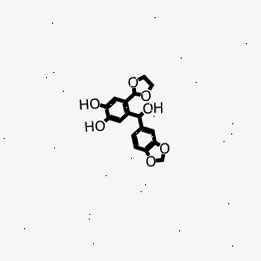 Oc1cc(C2OCCO2)c(C(O)c2ccc3c(c2)OCO3)cc1O